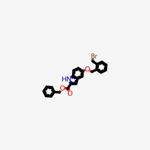 O=C(OCc1ccccc1)c1cc2cc(OCc3ccccc3CBr)ccc2[nH]1